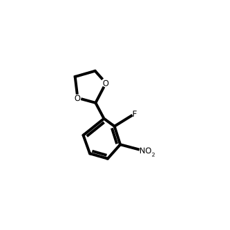 O=[N+]([O-])c1cccc(C2OCCO2)c1F